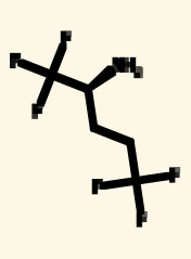 N[C@@H](CCC(F)(F)F)C(F)(F)F